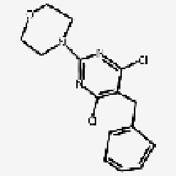 Clc1nc(N2CCOCC2)nc(Cl)c1Cc1ccccc1